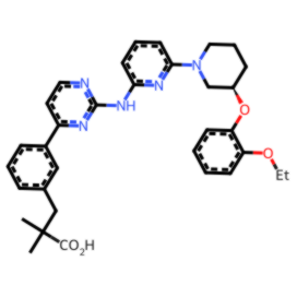 CCOc1ccccc1O[C@@H]1CCCN(c2cccc(Nc3nccc(-c4cccc(CC(C)(C)C(=O)O)c4)n3)n2)C1